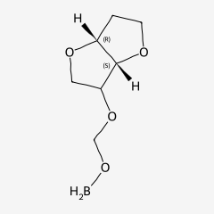 BOCOC1CO[C@@H]2CCO[C@H]12